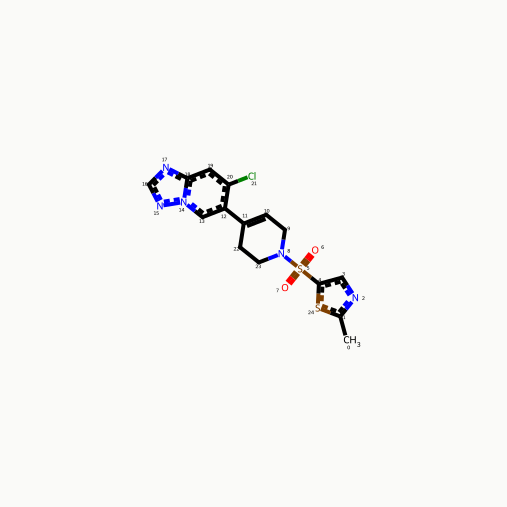 Cc1ncc(S(=O)(=O)N2CC=C(c3cn4ncnc4cc3Cl)CC2)s1